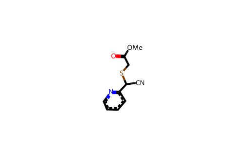 COC(=O)CSC(C#N)c1ccccn1